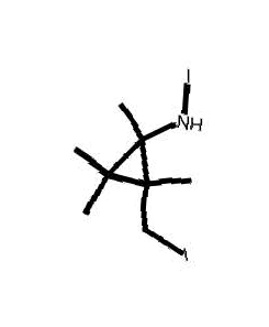 CC1(C)C(C)(CI)C1(C)NI